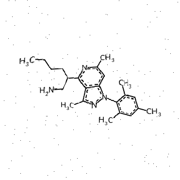 CCCCC(CN)c1nc(C)cc2c1c(C)nn2-c1c(C)cc(C)cc1C